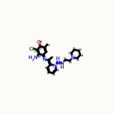 CC1=C/C(=N\C(C)=C2/C=CC=CN2NNCCN2CCCCC2)C(N)=C(Cl)C1=O